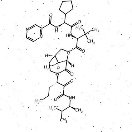 CCC[C@@H](C(=O)C(=O)N[C@@H](C)C(C)C)N1CC[C@H]2CN(C(=O)[C@@H](NC(=O)[C@@H](NC(=O)c3cnccn3)C3CCCC3)C(C)(C)C)[C@H](C1=O)[C@H]2C